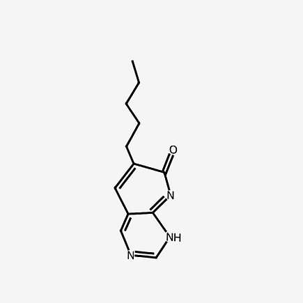 CCCCCc1cc2cnc[nH]c-2nc1=O